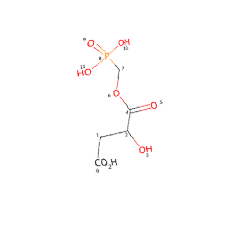 O=C(O)CC(O)C(=O)OCP(=O)(O)O